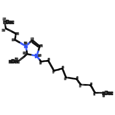 CCCCCCCCCCCCCCCCCCCN1C=CN(CCCCCCCCCCCCC)C1CCCCCCCCCC